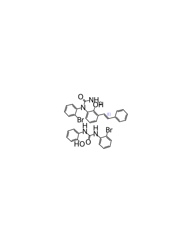 NC(=O)N(c1ccccc1Br)c1cccc(/C=C/c2ccccc2)c1O.O=C(Nc1ccccc1O)Nc1ccccc1Br